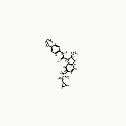 COc1ccc(NC(=O)N2c3cc(S(=O)(=O)NC4CC4)ccc3CC2C)cc1